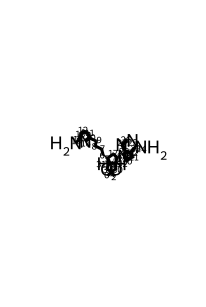 CC1(C)O[C@@H]2[C@@H](CCCCc3cccc(N)n3)C[C@@H](n3ccc4c(N)ncnc43)[C@@H]2O1